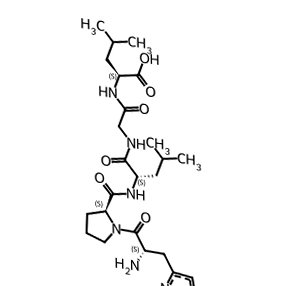 CC(C)C[C@H](NC(=O)CNC(=O)[C@H](CC(C)C)NC(=O)[C@@H]1CCCN1C(=O)[C@@H](N)Cc1c[nH]cn1)C(=O)O